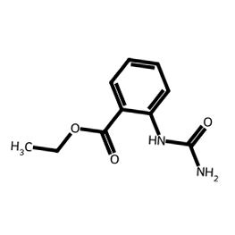 CCOC(=O)c1ccccc1NC(N)=O